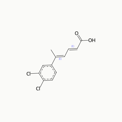 C/C(=C\C=C\C(=O)O)c1ccc(Cl)c(Cl)c1